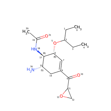 CCC(CC)O[C@@H]1C=C(C(=O)C2CO2)C[C@H](N)[C@H]1NC(C)=O